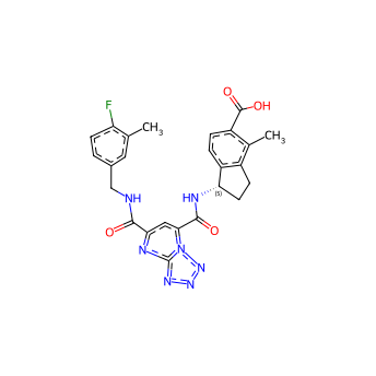 Cc1cc(CNC(=O)c2cc(C(=O)N[C@H]3CCc4c3ccc(C(=O)O)c4C)n3nnnc3n2)ccc1F